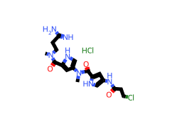 CN(CCC(=N)N)C(=O)c1cc(N(C)C(=O)c2cc(NC(=O)CCCl)c[nH]2)c[nH]1.Cl